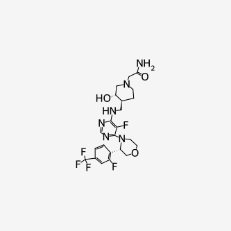 NC(=O)CN1CC[C@@H](CNc2ncnc(N3CCOC[C@@H]3c3ccc(C(F)(F)F)cc3F)c2F)[C@H](O)C1